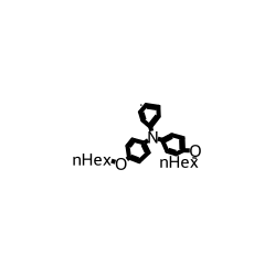 CCCCCCOc1ccc(N(c2cc[c]cc2)c2ccc(OCCCCCC)cc2)cc1